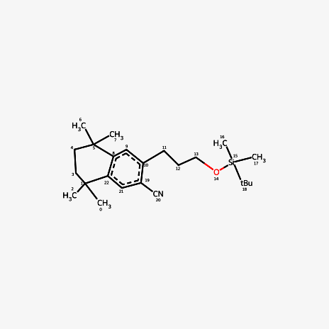 CC1(C)CCC(C)(C)c2cc(CCCO[Si](C)(C)C(C)(C)C)c(C#N)cc21